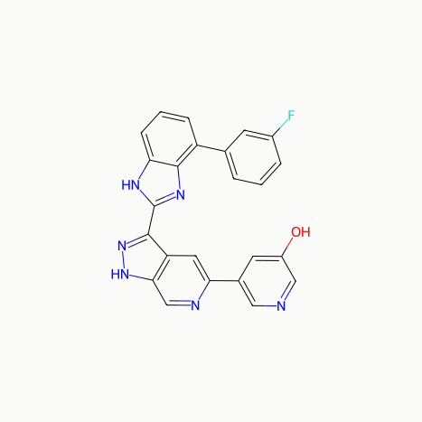 Oc1cncc(-c2cc3c(-c4nc5c(-c6cccc(F)c6)cccc5[nH]4)n[nH]c3cn2)c1